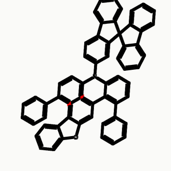 c1ccc(-c2ccc(N(c3ccc4c(c3)C3(c5ccccc5-c5ccccc53)c3ccccc3-4)c3cccc(-c4ccccc4)c3-c3ccc4c(c3)oc3ccccc34)cc2)cc1